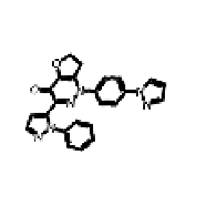 O=c1c(-c2ccnn2-c2ccccc2)nn(-c2ccc(-n3cccn3)cc2)c2c1OCC2